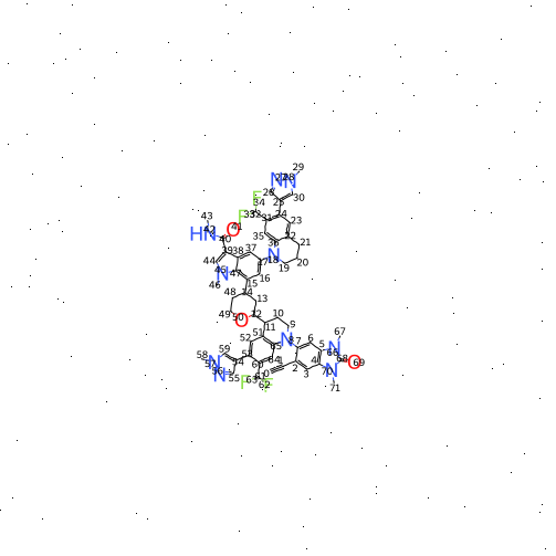 C#Cc1cc2c(cc1N1CCC(C3CC(c4cc(N5CCCc6cc(-c7cnn(C)c7)c(C(F)F)cc65)cc5c(C(=O)NC)cn(C)c45)CCO3)c3cc(-c4cnn(C)c4)c(C(F)F)cc31)n(C)c(=O)n2C